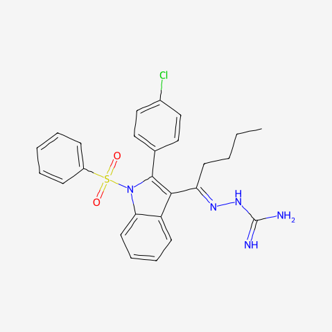 CCCCC(=NNC(=N)N)c1c(-c2ccc(Cl)cc2)n(S(=O)(=O)c2ccccc2)c2ccccc12